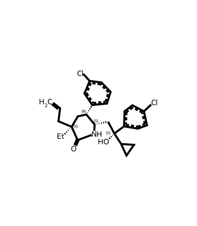 C=CC[C@@]1(CC)C[C@H](c2cccc(Cl)c2)[C@H](C[C@@](O)(c2ccc(Cl)cc2)C2CC2)NC1=O